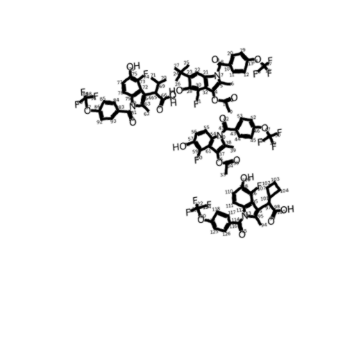 CC(=O)Oc1c(C)n(C(=O)c2ccc(OC(F)(F)F)cc2)c2cc(C(C)(C)C)c(O)c(F)c12.CC(=O)Oc1c(C)n(C(=O)c2ccc(OC(F)(F)F)cc2)c2ccc(O)c(F)c12.Cc1c(C(C(=O)O)C(C)C)c2c(F)c(O)ccc2n1C(=O)c1ccc(OC(F)(F)F)cc1.Cc1c(C(C(=O)O)C2CCC2)c2c(F)c(O)ccc2n1C(=O)c1ccc(OC(F)(F)F)cc1